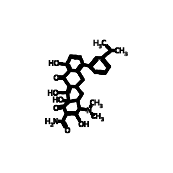 CC(C)c1cccc(-c2ccc(O)c3c2CC2CC4C(N(C)C)C(O)=C(C(N)=O)C(=O)C4(O)C(O)=C2C3=O)c1